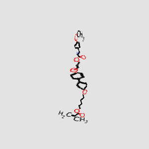 C=C(C)C(=O)OCCCCCCOc1ccc(-c2ccc(OCCCOC(=O)/C=C/c3ccc(OC)cc3)cc2)cc1